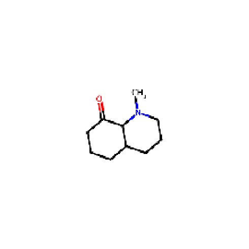 CN1CCCC2CCCC(=O)C21